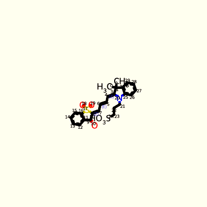 CC1(C)/C(=C/C=C/C=C2/C(=O)c3ccccc3S2(=O)=O)N(CCCS(=O)(=O)O)c2ccccc21